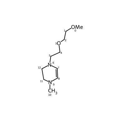 COCCOCCN1C=CN(C)CC1